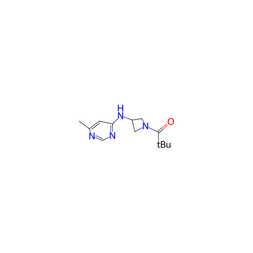 Cc1cc(NC2CN(C(=O)C(C)(C)C)C2)ncn1